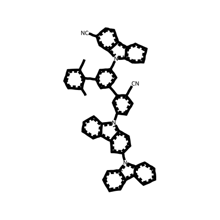 Cc1cccc(C)c1-c1cc(-c2cc(-n3c4ccccc4c4cc(-n5c6ccccc6c6ccccc65)ccc43)ccc2C#N)cc(-n2c3ccccc3c3ccc(C#N)cc32)c1